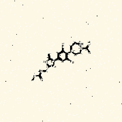 C=C1O[C@@H](CNC(=S)OC)CN1c1cc(F)c(N2CCNN(C(C)=O)CC2)c(F)c1